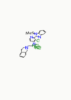 CSn1c(-c2nccc(N(C)CCN3CCc4ccccc4C3)c2Cl)nc2ccccc21.Cl.Cl.Cl